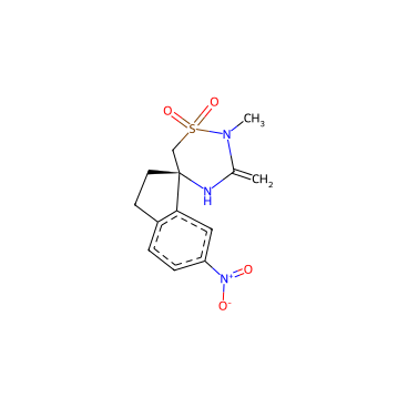 C=C1N[C@@]2(CCc3ccc([N+](=O)[O-])cc32)CS(=O)(=O)N1C